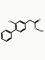 CC(C)(C)OC(=O)Cc1ccc(-c2ccccc2)c(Cl)c1